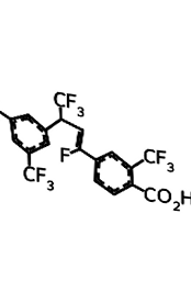 O=C(O)c1ccc(C(F)=CC(c2cc(Cl)cc(C(F)(F)F)c2)C(F)(F)F)cc1C(F)(F)F